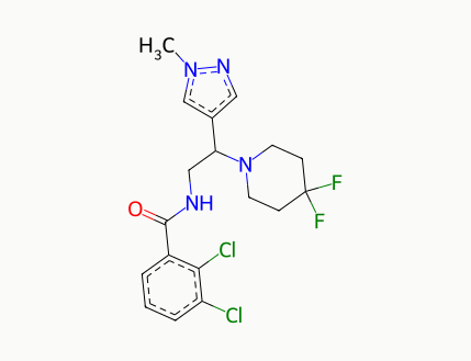 Cn1cc(C(CNC(=O)c2cccc(Cl)c2Cl)N2CCC(F)(F)CC2)cn1